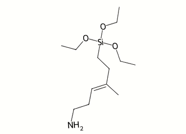 CCO[Si](CCC(C)=CCCN)(OCC)OCC